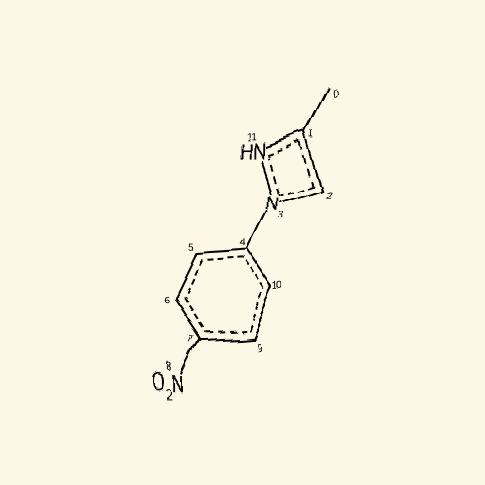 Cc1cn(-c2ccc([N+](=O)[O-])cc2)[nH]1